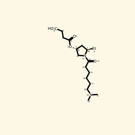 CC[C@@H]1C[C@@H](OC(=O)CCC(=O)O)CN1C(=O)CCCCCN(C)C